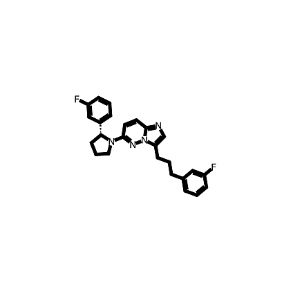 Fc1cccc(CCCc2cnc3ccc(N4CCC[C@@H]4c4cccc(F)c4)nn23)c1